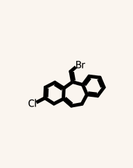 ClC1=CC=C2C(=CCc3ccccc3C2=CBr)C1